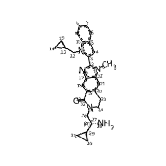 Cn1c(-c2cc3ccccc3n2CC2CC2)nc2cc3c(cc21)CCN(C[C@H](N)C1CC1)C3=O